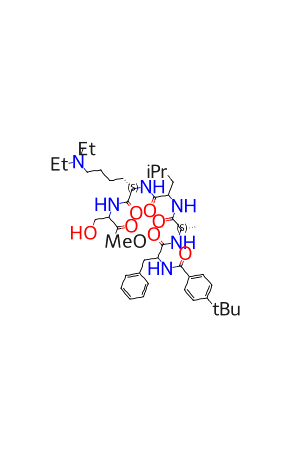 CCN(CC)CCCC[C@H](NC(=O)C(CC(C)C)NC(=O)[C@H](C)NC(=O)C(Cc1ccccc1)NC(=O)c1ccc(C(C)(C)C)cc1)C(=O)NC(CO)C(=O)OC